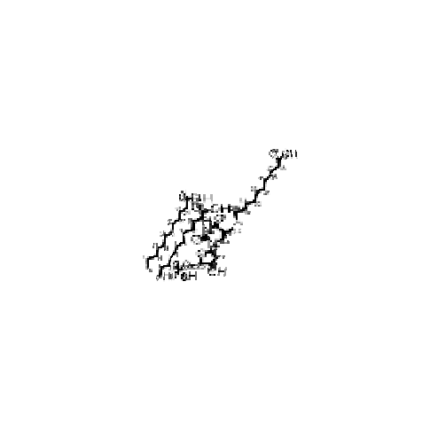 CCCCCCCCCCCC(=O)O.CCCCCCCCCCCC(=O)O.CCCCCCCCCCCC(=O)O.Cc1cn([C@H]2C[C@H](O)[C@@H](COP(=O)(O)O)O2)c(=O)[nH]c1=O